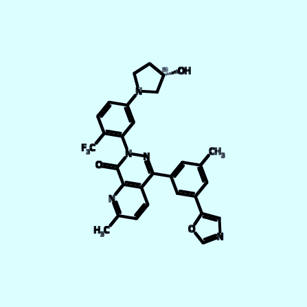 Cc1cc(-c2cnco2)cc(-c2nn(-c3cc(N4CC[C@H](O)C4)ccc3C(F)(F)F)c(=O)c3nc(C)ccc23)c1